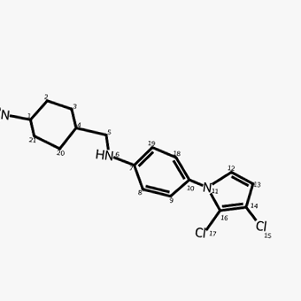 NC1CCC(CNc2ccc(-n3ccc(Cl)c3Cl)cc2)CC1